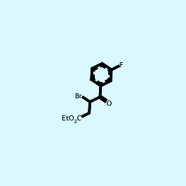 CCOC(=O)CC(Br)C(=O)c1cccc(F)c1